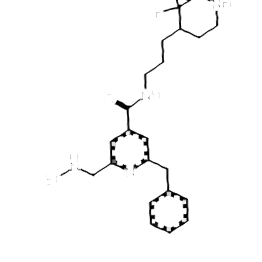 CCNCc1cc(C(=O)NCCCC2CCNCC2(F)F)cc(Cc2ccccc2)n1